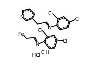 Cl.Cl.Clc1ccc(N=CCc2cccnc2)c(Cl)c1.Clc1ccc(N=C[CH2][Fe])c(Cl)c1